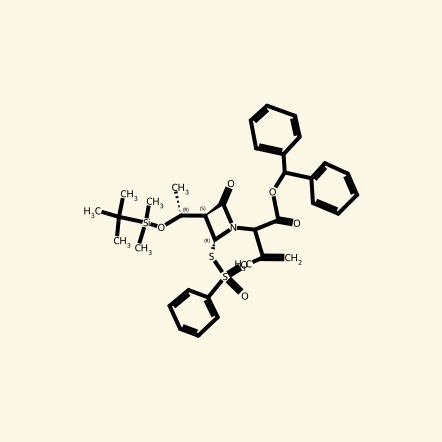 C=C(C)C(C(=O)OC(c1ccccc1)c1ccccc1)N1C(=O)[C@H]([C@@H](C)O[Si](C)(C)C(C)(C)C)[C@H]1SS(=O)(=O)c1ccccc1